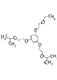 CCOCCOc1cc(OCCOC(C)C)cc(OCCOC(C)C)c1